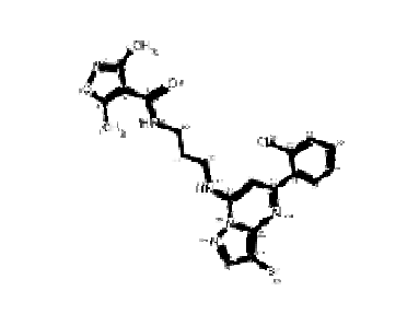 Cc1noc(C)c1C(=O)NCCCNc1cc(-c2ccccc2Cl)nc2c(Br)cnn12